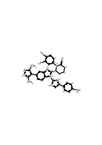 Cc1noc(C)c1-c1ccc2c(c1)nc([C@@H]1CCCC(=O)N1c1ccc(F)c(F)c1)n2-c1nc(-c2ccc(O)cc2)co1